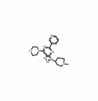 CN1CCC(n2nnc3c(N4CCOCC4)nc(-c4cccnc4)nc32)CC1